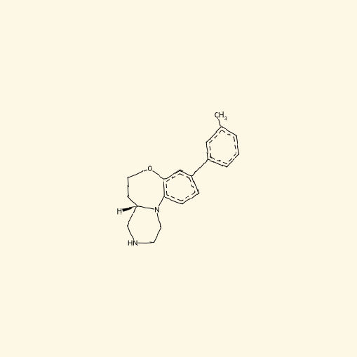 Cc1cccc(-c2ccc3c(c2)OCC[C@H]2CNCCN32)c1